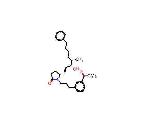 COC(=O)c1cccc(CCCN2C(=O)CC[C@@H]2/C=C/[C@@H](O)[C@@H](C)CCCCc2ccccc2)c1